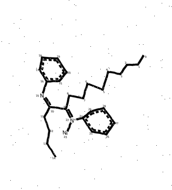 CCCCCCCCCC(C(CCCC)=Nc1ccccc1)=[N+]([Ni])c1ccccc1